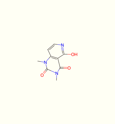 Cn1c(=O)c2c(O)nccc2n(C)c1=O